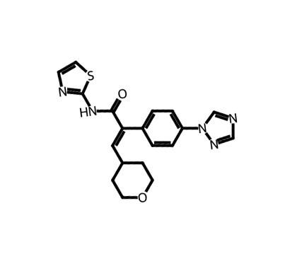 O=C(Nc1nccs1)/C(=C/C1CCOCC1)c1ccc(-n2cncn2)cc1